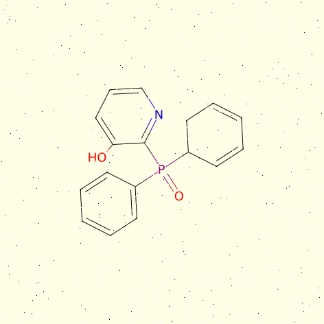 O=P(c1ccccc1)(c1ncccc1O)C1C=CC=CC1